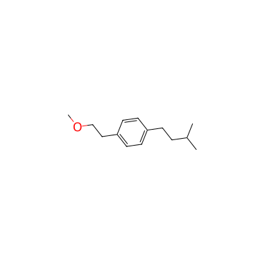 COCCc1ccc(CCC(C)C)cc1